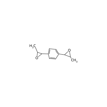 CC1OC1c1ccc(C2OC2C)cc1